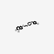 O=c1ccc2cc(OCCCN3CCN(Cc4ccc(Cl)cc4)CC3)ccc2[nH]1